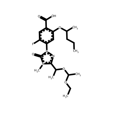 CCCC(C)Oc1cc(-n2nc(C(C)OC(C)OCC)n(C)c2=O)c(F)cc1C(=O)O